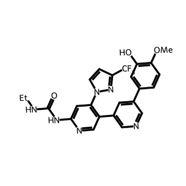 CCNC(=O)Nc1cc(-n2ccc(C(F)(F)F)n2)c(-c2cncc(-c3ccc(OC)c(O)c3)c2)cn1